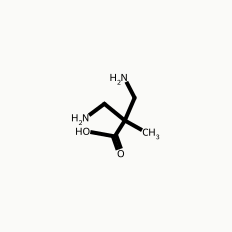 CC(CN)(CN)C(=O)O